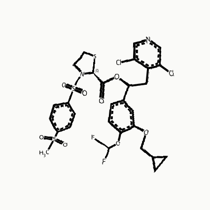 CS(=O)(=O)c1ccc(S(=O)(=O)N2CCS[C@H]2C(=O)OC(Cc2c(Cl)cncc2Cl)c2ccc(OC(F)F)c(OCC3CC3)c2)cc1